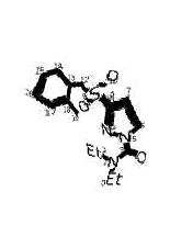 CCN(CC)C(=O)n1ccc(S(=O)(=O)Cc2ccccc2C)n1